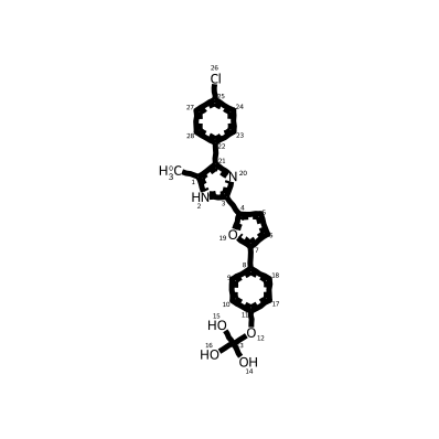 Cc1[nH]c(-c2ccc(-c3ccc(OC(O)(O)O)cc3)o2)nc1-c1ccc(Cl)cc1